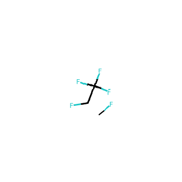 CF.FCC(F)(F)F